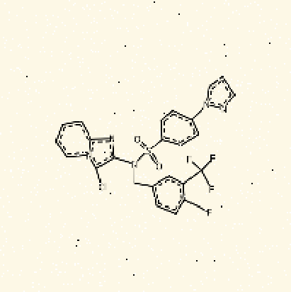 O=S(=O)(c1ccc(-n2cccn2)cc1)N(Cc1ccc(F)c(C(F)(F)F)c1)c1nc2ccccn2c1Cl